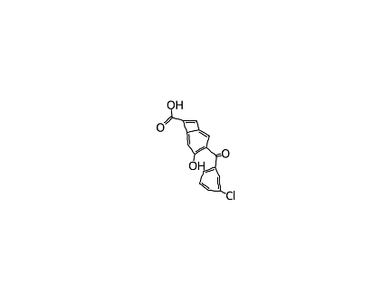 O=C(O)C1=Cc2cc(C(=O)c3cccc(Cl)c3)c(O)cc21